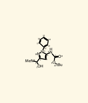 CNC(O)c1cc(NC(=O)OC(C)(C)C)n(-c2ccccc2)n1